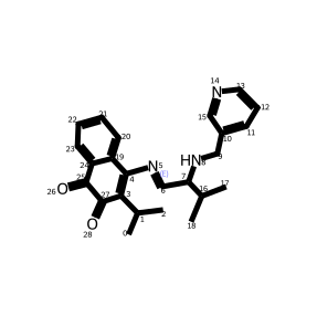 CC(C)C1=C(/N=C/C(NCc2cccnc2)C(C)C)c2ccccc2C(=O)C1=O